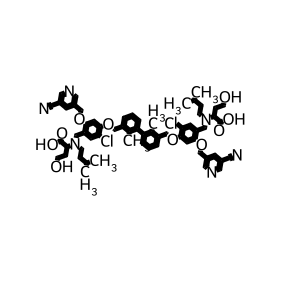 Cc1c(COc2cc(OCc3cncc(C#N)c3)c(CN(CCC(C)C)C(CCO)C(=O)O)cc2Cl)cccc1-c1cccc(COc2cc(OCc3cncc(C#N)c3)c(CN(CCC(C)C)C(CCO)C(=O)O)cc2Cl)c1C